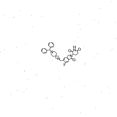 O=C1CCC(N2Cc3cc(CN4CC5(CCN(C(c6ccccc6)c6ccccc6)CC5)C4)c(F)cc3C2=O)C(=O)N1